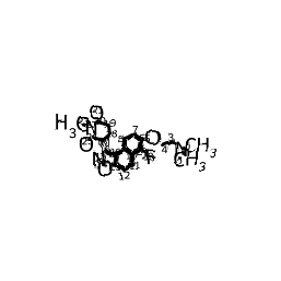 CN(C)CCOc1ccc2c(ccc3onc([C@H]4CCC(=O)N(C)C4=O)c32)c1F